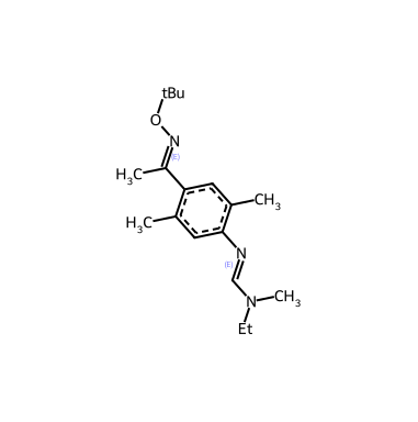 CCN(C)/C=N/c1cc(C)c(/C(C)=N/OC(C)(C)C)cc1C